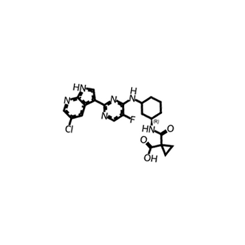 O=C(O)C1(C(=O)N[C@@H]2CCCC(Nc3nc(-c4c[nH]c5ncc(Cl)cc45)ncc3F)C2)CC1